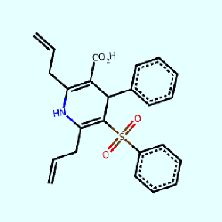 C=CCC1=C(C(=O)O)C(c2ccccc2)C(S(=O)(=O)c2ccccc2)=C(CC=C)N1